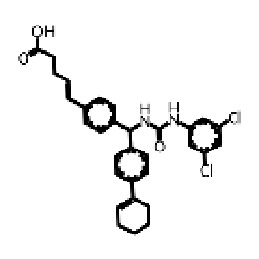 O=C(O)CCC=Cc1ccc(C(NC(=O)Nc2cc(Cl)cc(Cl)c2)c2ccc(C3=CCCCC3)cc2)cc1